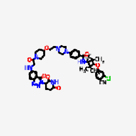 CC1(C)C(NC(=O)c2ccc(N3CCN(CCOC4CCN(C(=O)CNc5ccc6nnn(C7CCC(=O)NC7=O)c(=O)c6c5)CC4)CC3)cc2)C(C)(C)C1Oc1ccc(C#N)c(Cl)c1